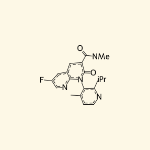 CNC(=O)c1cc2cc(F)cnc2n(-c2c(C)ccnc2C(C)C)c1=O